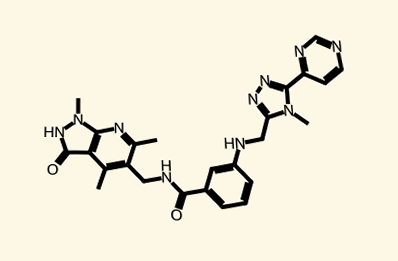 Cc1nc2c(c(C)c1CNC(=O)c1cccc(NCc3nnc(-c4ccncn4)n3C)c1)c(=O)[nH]n2C